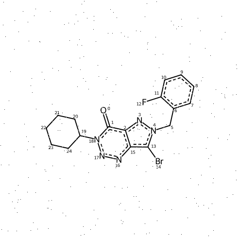 O=c1c2nn(Cc3ccccc3F)c(Br)c2nnn1C1CCCCC1